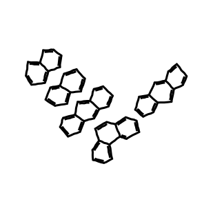 c1ccc2c(c1)ccc1ccccc12.c1ccc2cc3ccccc3cc2c1.c1ccc2cc3ccccc3cc2c1.c1ccc2ccccc2c1.c1ccc2ccccc2c1